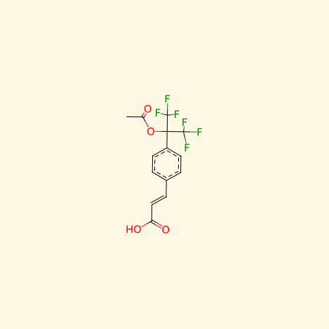 CC(=O)OC(c1ccc(C=CC(=O)O)cc1)(C(F)(F)F)C(F)(F)F